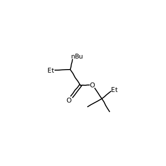 CCCCC(CC)C(=O)OC(C)(C)CC